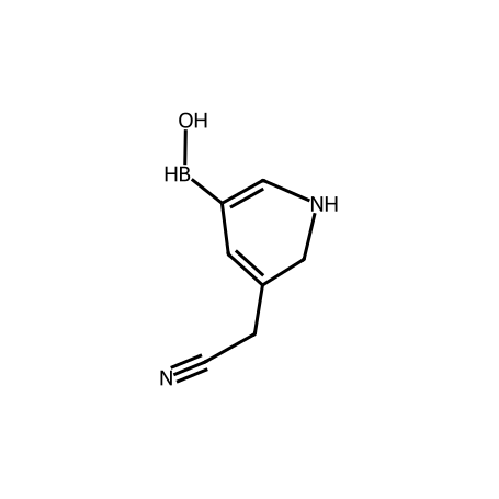 N#CCC1=CC(BO)=CNC1